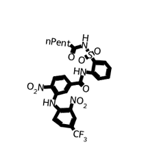 CCCCCC(=O)NS(=O)(=O)c1ccccc1NC(=O)c1ccc([N+](=O)[O-])c(Nc2ccc(C(F)(F)F)cc2[N+](=O)[O-])c1